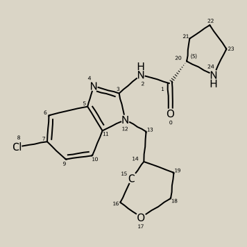 O=C(Nc1nc2cc(Cl)ccc2n1CC1CCOCC1)[C@@H]1CCCN1